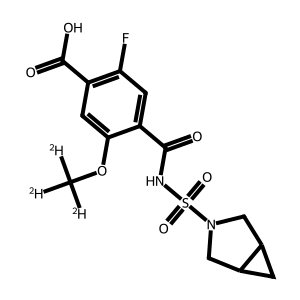 [2H]C([2H])([2H])Oc1cc(C(=O)O)c(F)cc1C(=O)NS(=O)(=O)N1CC2CC2C1